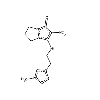 C[n+]1ccn(CCNc2c([N+](=O)[O-])c(=O)n3n2CCC3)c1